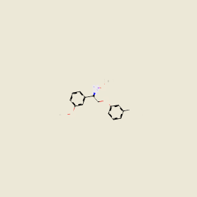 CCCCCCOc1cccc(C(COc2cccc(C(=O)O)c2)=NOCCC)c1